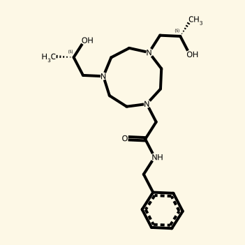 C[C@H](O)CN1CCN(CC(=O)NCc2ccccc2)CCN(C[C@H](C)O)CC1